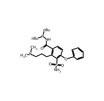 CCCCN(CCCC)NC(=O)c1ccc(Oc2ccccc2)c(S(N)(=O)=O)c1CCCN(C)C